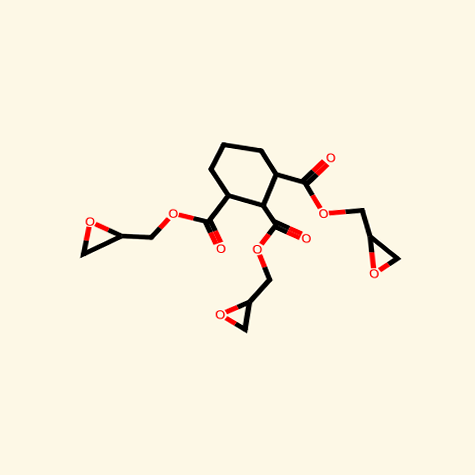 O=C(OCC1CO1)C1CCCC(C(=O)OCC2CO2)C1C(=O)OCC1CO1